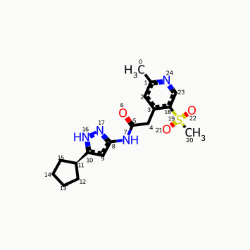 Cc1cc(CC(=O)Nc2cc([C@H]3C[CH]CC3)[nH]n2)c(S(C)(=O)=O)cn1